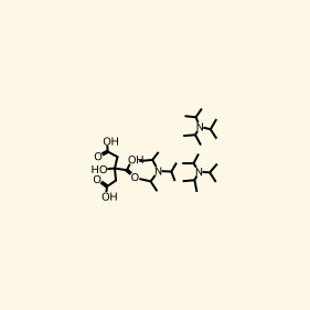 CC(C)N(C(C)C)C(C)C.CC(C)N(C(C)C)C(C)C.CC(C)N(C(C)C)C(C)C.O=C(O)CC(O)(CC(=O)O)C(=O)O